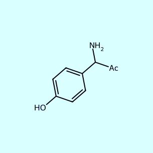 CC(=O)C(N)c1ccc(O)cc1